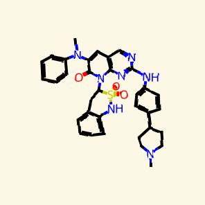 CN1CCC(c2ccc(Nc3ncc4cc(N(C)c5ccccc5)c(=O)n(C5Cc6ccccc6NS5(=O)=O)c4n3)cc2)CC1